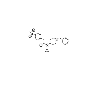 CS(=O)(=O)c1ccc(CC(=O)N(C2CC2)C2CCN(Cc3ccccc3)CC2)cc1